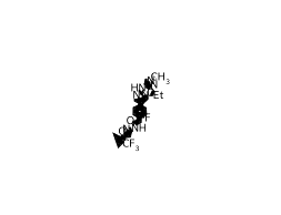 CCOc1nn(C)cc1Nc1ncc(-c2ccc(CC(=O)Nc3cc(C4(C(F)(F)F)CC4)on3)c(F)c2)cn1